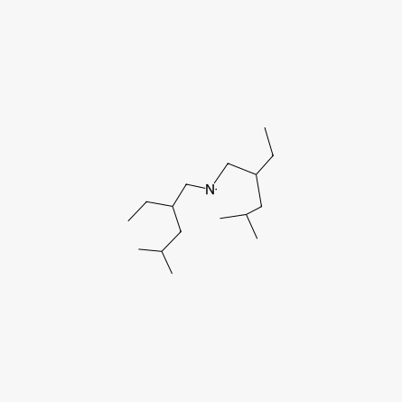 CCC(C[N]CC(CC)CC(C)C)CC(C)C